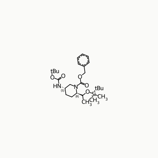 CC(O[Si](C)(C)C(C)(C)C)[C@H]1CC[C@H](NC(=O)OC(C)(C)C)CN1C(=O)OCc1ccccc1